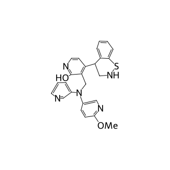 COc1ccc(N(Cc2c(C3CNSc4ccccc43)ccnc2O)c2cccnc2)cn1